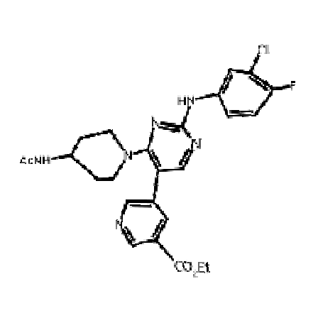 CCOC(=O)c1cncc(-c2cnc(Nc3ccc(F)c(Cl)c3)nc2N2CCC(NC(C)=O)CC2)c1